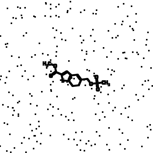 COC(=O)c1cc2c(s1)CCC(COS(C)(=O)=O)=C2